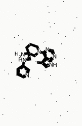 Cc1c[nH]c2ncnc(N3CCCC(N)(CNc4cccnc4)C3)c12